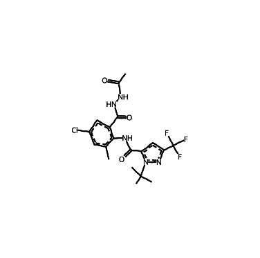 CC(=O)NNC(=O)c1cc(Cl)cc(C)c1NC(=O)c1cc(C(F)(F)F)nn1C(C)(C)C